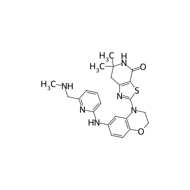 CNCc1cccc(Nc2ccc3c(c2)N(c2nc4c(s2)C(=O)NC(C)(C)C4)CCO3)n1